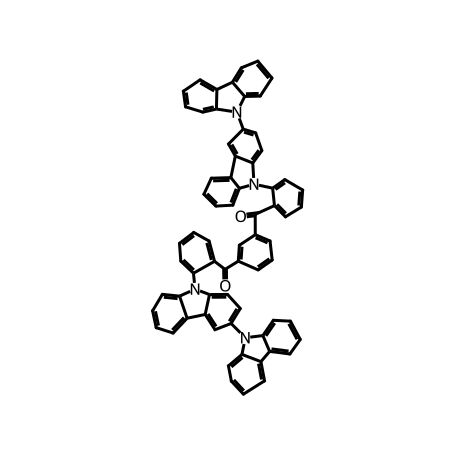 O=C(c1cccc(C(=O)c2ccccc2-n2c3ccccc3c3cc(-n4c5ccccc5c5ccccc54)ccc32)c1)c1ccccc1-n1c2ccccc2c2cc(-n3c4ccccc4c4ccccc43)ccc21